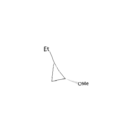 CCC1C[C@H]1OC